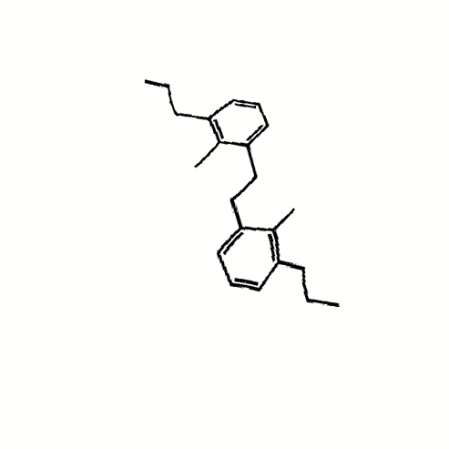 CCCc1cccc(CCc2cccc(CCC)c2C)c1C